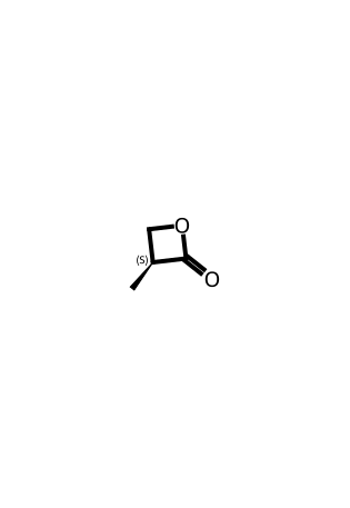 C[C@H]1COC1=O